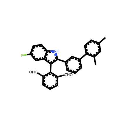 Cc1ccc(-c2cccc(-c3[nH]c4ccc(F)cc4c3-c3c(C=O)cccc3C=O)c2)c(C)c1